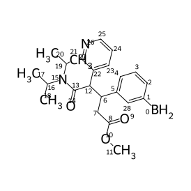 Bc1cccc(C(CC(=O)OC)C(C(=O)N(C(C)C)C(C)C)c2cccnc2)c1